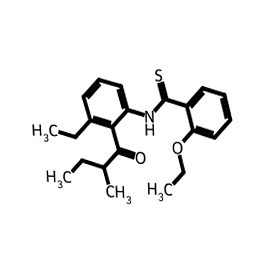 CCOc1ccccc1C(=S)Nc1cccc(CC)c1C(=O)C(C)CC